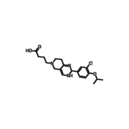 CC(C)Oc1ccc(C2N=C3CCN(CCCC(=O)O)CC3=CN2)cc1Cl